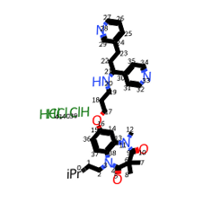 CC(C)CCN1C(=O)C(C)(C)C(=O)N(C)c2cc(OCCCNC(CCc3cccnc3)c3ccncc3)ccc21.Cl.Cl.Cl